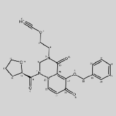 C#COCCN1CN(C(=O)[C@H]2CCCO2)n2ccc(=O)c(OCc3ccccc3)c2C1=O